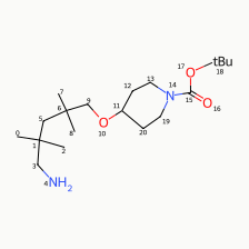 CC(C)(CN)CC(C)(C)COC1CCN(C(=O)OC(C)(C)C)CC1